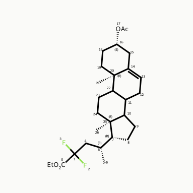 CCOC(=O)C(F)(F)C[C@@H](C)[C@H]1CCC2C3CC=C4C[C@@H](OC(C)=O)CC[C@]4(C)C3CC[C@@]21C